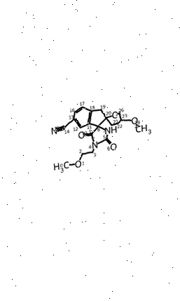 COCCN1C(=O)NC2(C1=O)c1cc(C#N)ccc1CC21CCC(OC)CC1